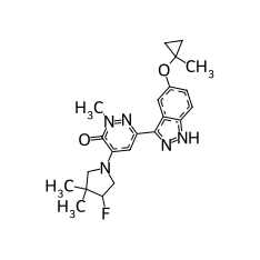 Cn1nc(-c2n[nH]c3ccc(OC4(C)CC4)cc23)cc(N2CC(F)C(C)(C)C2)c1=O